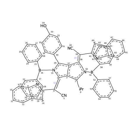 CC(C)c1c2/c(=C(\C#N)c3nc4ccccc4s3)n(B(c3ccccc3)c3ccccc3)c(-c3ccc(O)cc3)c2/c(=C(\C#N)c2nc3ccccc3s2)n1B(c1ccccc1)c1ccccc1